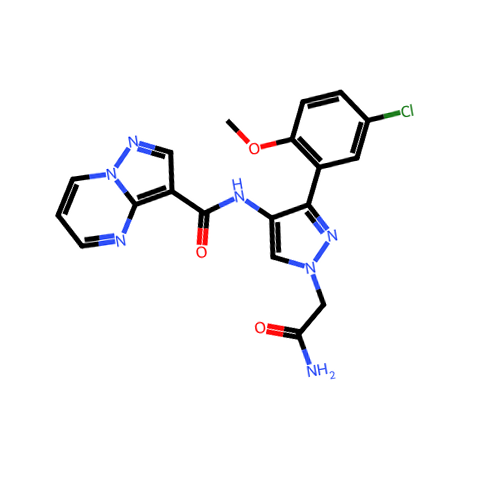 COc1ccc(Cl)cc1-c1nn(CC(N)=O)cc1NC(=O)c1cnn2cccnc12